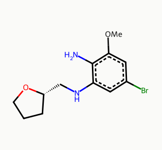 COc1cc(Br)cc(NC[C@@H]2CCCO2)c1N